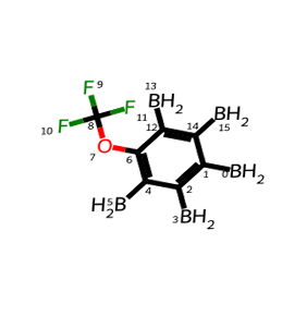 Bc1c(B)c(B)c(OC(F)(F)F)c(B)c1B